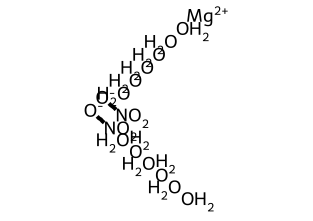 O.O.O.O.O.O.O.O.O.O.O.O.O=[N+]([O-])[O-].O=[N+]([O-])[O-].[Mg+2]